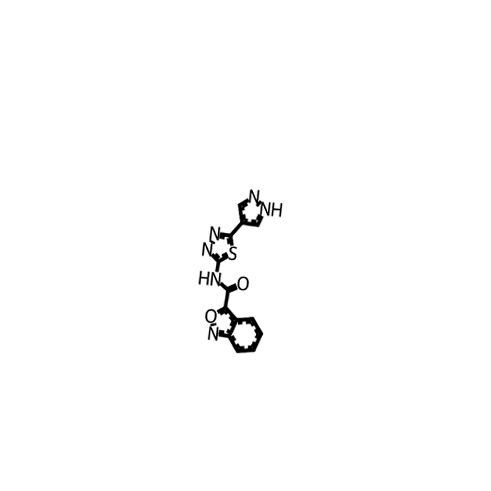 O=C(Nc1nnc(-c2cn[nH]c2)s1)c1onc2ccccc12